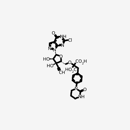 C#C[C@@]1(O)[C@@H](COC(Cc2ccc(N3CCCNC3=O)cc2)(C(=O)O)C(=O)O)O[C@@H](n2ncc3c(=O)[nH]c(Cl)nc32)[C@@H]1O